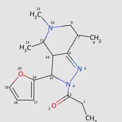 CCC(=O)N1N=C2C(C)CN(C)C(C)C2C1c1ccco1